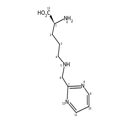 N[C@@H](CCCNCc1ncccn1)C(=O)O